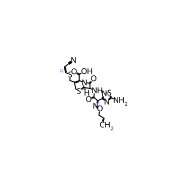 C=CCO/N=C(/C(=O)NC1C(=O)N2C(C(=O)O)=C(CS/C=C\C#N)CS[C@H]12)c1nsc(N)n1